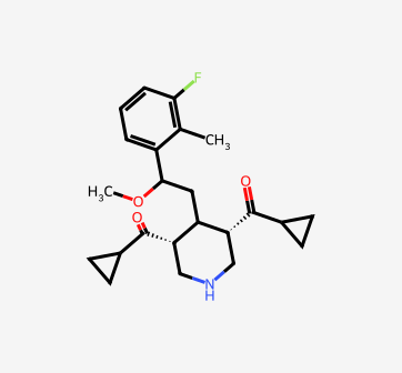 COC(CC1[C@@H](C(=O)C2CC2)CNC[C@H]1C(=O)C1CC1)c1cccc(F)c1C